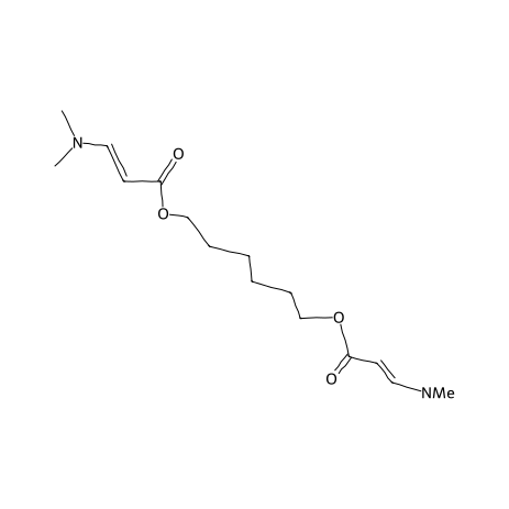 CN/C=C/C(=O)OCCCCCCOC(=O)/C=C/N(C)C